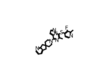 Cc1nccc(Sc2c(C)nc(N3CCC4(CC3)Cc3cccnc3C4)c3ccnn23)c1F